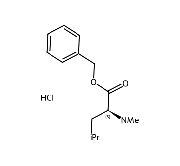 CN[C@@H](CC(C)C)C(=O)OCc1ccccc1.Cl